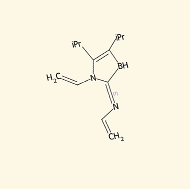 C=C/N=C1/BC(C(C)C)=C(C(C)C)N1C=C